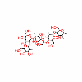 C[C@@H]1OC(CO)[C@@H](O[C@@H]2OC(CO)[C@@H](O[C@@H](CO)OC(CO)[C@@H](O)[C@@H](C)O[C@H]3O[C@H](CO)[C@@H](O)C(O)C3O[C@@H]3OC(CO)[C@@H](O)C(O)[C@@H]3C)C(O)[C@@H]2C)C(O)[C@@H]1C